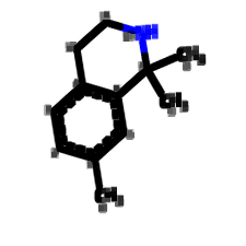 Cc1ccc2c(c1)C(C)(C)NCC2